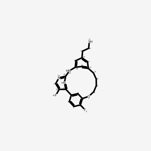 Fc1ccc2cc1OCCCCc1cc(CCS)cc(c1)Nc1ncc(F)c-2n1